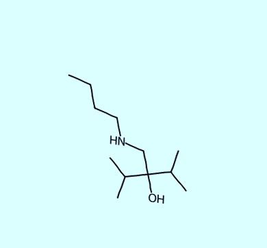 CCCCNCC(O)(C(C)C)C(C)C